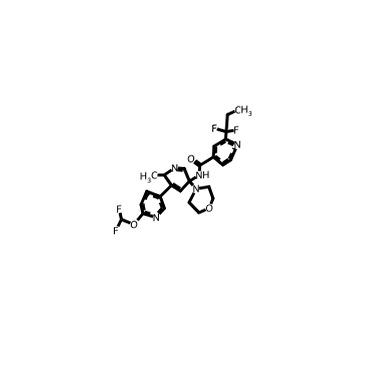 CCC(F)(F)c1cc(C(=O)NC2(N3CCOCC3)C=NC(C)C(c3ccc(OC(F)F)nc3)=C2)ccn1